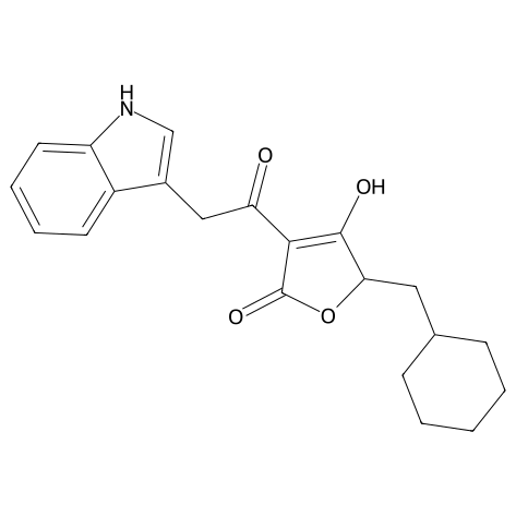 O=C(Cc1c[nH]c2ccccc12)C1=C(O)C(CC2CCCCC2)OC1=O